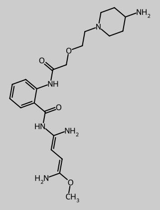 CO/C(N)=C/C=C(\N)NC(=O)c1ccccc1NC(=O)COCCN1CCC(N)CC1